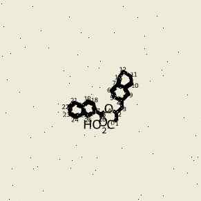 O=C(O)CC(Cc1ccc2c(c1)=CCCC=2)OC(=O)c1ccc2ccccc2c1